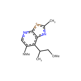 CNc1cnc2sc(C)nc2c1C(C)COC